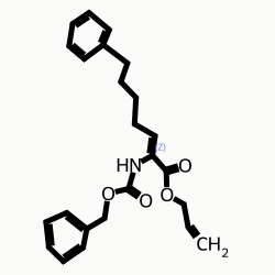 C=CCOC(=O)/C(=C/CCCCc1ccccc1)NC(=O)OCc1ccccc1